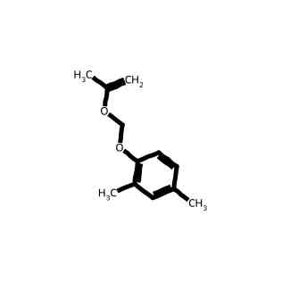 C=C(C)OCOc1ccc(C)cc1C